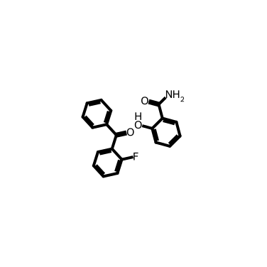 NC(=O)c1ccccc1O.O=C(c1ccccc1)c1ccccc1F